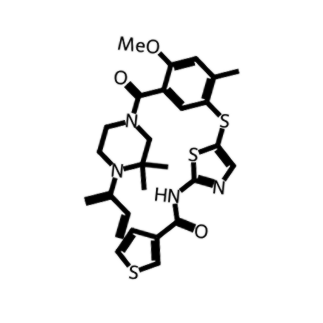 C=CC(=C)N1CCN(C(=O)c2cc(Sc3cnc(NC(=O)c4ccsc4)s3)c(C)cc2OC)CC1(C)C